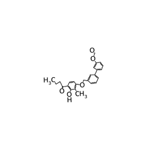 CCCC(=O)c1ccc(OCc2cccc(-c3cccc(OC=O)c3)c2)c(C)c1O